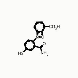 NC(=O)c1cc(S)ccc1-n1oc2c(C(=O)O)cccc21